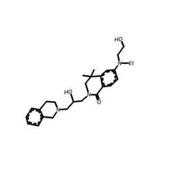 CCN(CCO)c1ccc2c(c1)C(C)(C)CN(CC(O)CN1CCc3ccccc3C1)C2=O